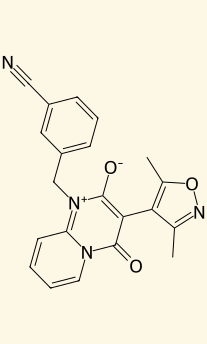 Cc1noc(C)c1-c1c([O-])[n+](Cc2cccc(C#N)c2)c2ccccn2c1=O